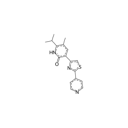 Cc1cc(-c2csc(-c3ccncc3)n2)c(=O)[nH]c1C(C)C